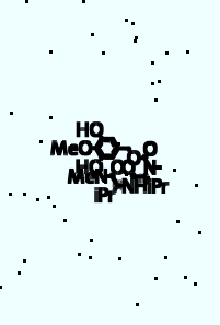 CNC(=O)[C@@H](NC(=O)[C@H](C(C)C)N(C)C(=O)OCc1cc(O)c(OC)c(O)c1)C(C)C